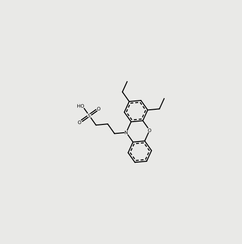 CCc1cc(CC)c2c(c1)N(CCCS(=O)(=O)O)c1ccccc1O2